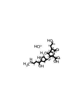 CNCCC(O)C1CC(SC2=C(C(=O)O)N3C(=O)C(CCO)C3C2C)CN1.Cl